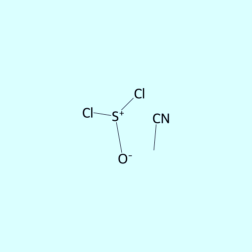 CC#N.[O-][S+](Cl)Cl